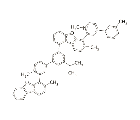 Cc1cccc(-c2cc[n+](C)c(-c3c(C)ccc4c3oc3cccc(-c5cc(-c6cc[n+](C)c(-c7c(C)ccc8c7oc7ccccc78)c6)cc(C(C)C)c5)c34)c2)c1